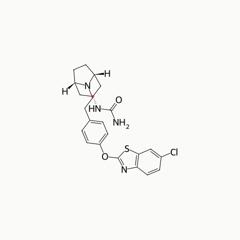 NC(=O)N[C@H]1C[C@H]2CC[C@@H](C1)N2CCc1ccc(Oc2nc3ccc(Cl)cc3s2)cc1